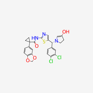 O=C(Nc1ncc([C@@H](c2ccc(Cl)c(Cl)c2)N2C=C(O)CC2)s1)C1(c2ccc3c(c2)OCO3)CC1